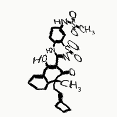 CC1(CC=C2CCC2)C(=O)C(C2=NS(=O)(=O)c3cc(NS(C)(=O)=O)ccc3N2)=C(O)c2ccccc21